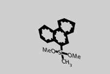 CO[Si](C)(OC)c1cc2ccccc2c2ccccc12